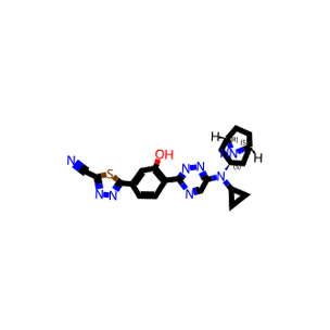 N#Cc1nnc(-c2ccc(-c3ncc(N(C4CC4)[C@@H]4C[C@H]5CC[C@@H](C4)N5)nn3)c(O)c2)s1